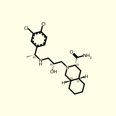 C[C@@H](NC[C@@H](O)CN1C[C@H]2CCCC[C@H]2C[C@H]1C(N)=O)c1ccc(Cl)c(Cl)c1